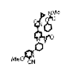 CNC(=O)O[C@H]1CC[C@H](C(=O)N(C[C@H]2CC[C@H](c3ccc(OC)c(C#N)n3)CC2)c2cc(-c3coc(C4CC4)n3)ccn2)CC1